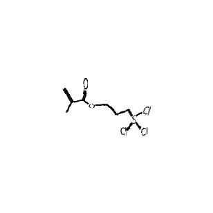 C=C(C)C(=O)OCCCS(Cl)(Cl)Cl